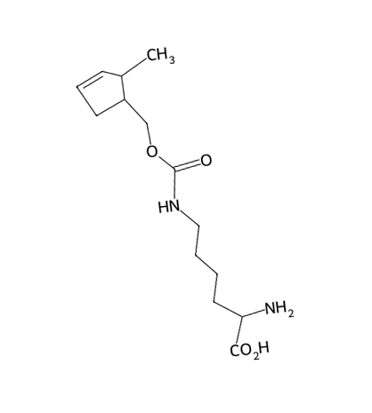 CC1C=CCC1COC(=O)NCCCCC(N)C(=O)O